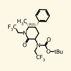 C[C@@H]1[C@H](c2ccccc2)CC(N(CC(F)(F)F)C(=O)OC(C)(C)C)C(=O)N1CC(F)(F)F